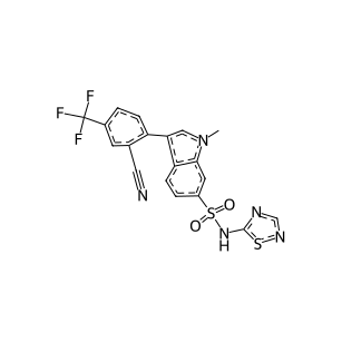 Cn1cc(-c2ccc(C(F)(F)F)cc2C#N)c2ccc(S(=O)(=O)Nc3ncns3)cc21